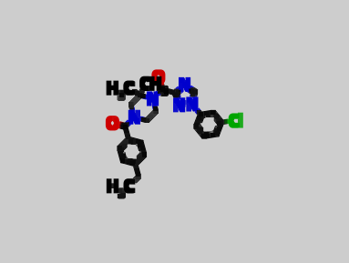 CCc1ccc(C(=O)N2CCN(C(=O)c3ncn(-c4cccc(Cl)c4)n3)C(C)(C)C2)cc1